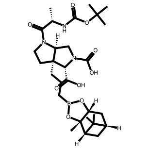 C[C@H](NC(=O)OC(C)(C)C)C(=O)N1CC[C@@]2(CCCB3O[C@@H]4C[C@@H]5C[C@@H](C5(C)C)[C@]4(C)O3)[C@@H]1CN(C(=O)O)[C@@H]2C(=O)O